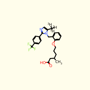 [2H]C([2H])([2H])c1cnc(-c2ccc(C(F)(F)F)cc2)n1Cc1ccccc1OCCCC(C)CC(=O)O